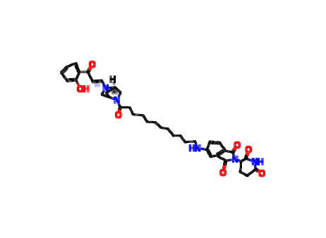 O=C1CCC(N2C(=O)c3ccc(NCCCCCCCCCCCC(=O)N4C[C@H]5CC4CN5/C=C/C(=O)c4ccccc4O)cc3C2=O)C(=O)N1